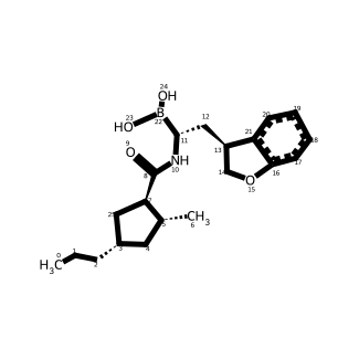 CCC[C@H]1C[C@@H](C)[C@H](C(=O)N[C@@H](C[C@@H]2COc3ccccc32)B(O)O)C1